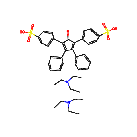 CCN(CC)CC.CCN(CC)CC.O=C1C(c2ccc(S(=O)(=O)O)cc2)=C(c2ccccc2)C(c2ccccc2)=C1c1ccc(S(=O)(=O)O)cc1